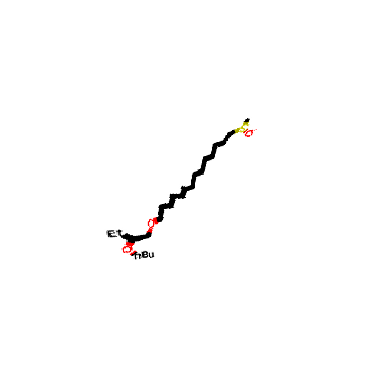 CCCCOC(CC)COCCCCCCCCCCCCCC[S+](C)[O-]